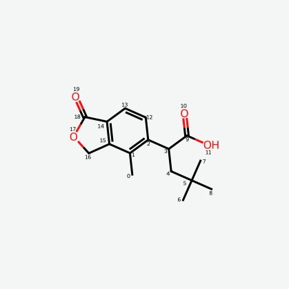 Cc1c(C(CC(C)(C)C)C(=O)O)ccc2c1COC2=O